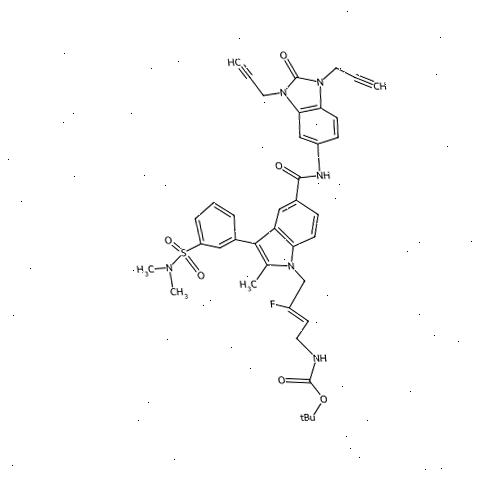 C#CCn1c(=O)n(CC#C)c2cc(NC(=O)c3ccc4c(c3)c(-c3cccc(S(=O)(=O)N(C)C)c3)c(C)n4C/C(F)=C/CNC(=O)OC(C)(C)C)ccc21